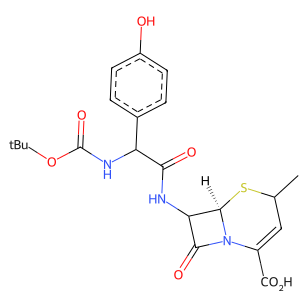 CC1C=C(C(=O)O)N2C(=O)C(NC(=O)C(NC(=O)OC(C)(C)C)c3ccc(O)cc3)[C@H]2S1